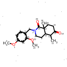 COc1ccc(CN2CCC3C(C)C(=O)CCC3(C)C2=O)c(OC)c1